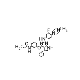 C=CC(=O)Nc1cccc(Oc2nc(Nc3ccc(N4CCN(C)CC4)c(F)c3)nc3[nH]cc(N4CCCC4)c23)c1